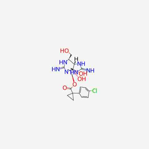 N=C1N[C@H]2[C@H](CO)NC(=N)N3C[C@H](OC(=O)C4(c5ccc(Cl)cc5)CC4)C(O)(O)[C@]23N1